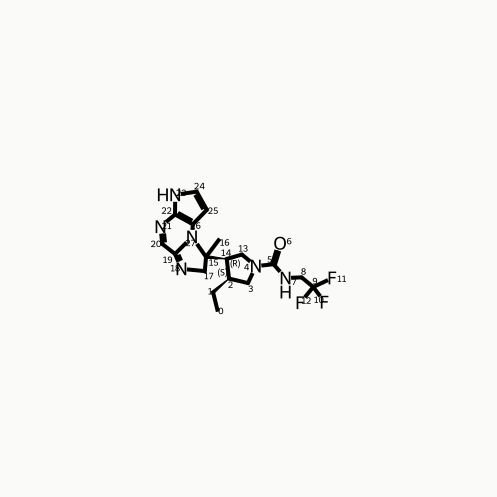 CC[C@@H]1CN(C(=O)NCC(F)(F)F)C[C@@H]1C1(C)CN=C2C=Nc3[nH]ccc3N21